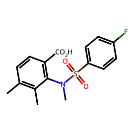 Cc1ccc(C(=O)O)c(N(C)S(=O)(=O)c2ccc(F)cc2)c1C